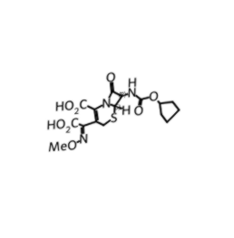 CON=C(C(=O)O)C1=C(C(=O)O)N2C(=O)[C@@H](NC(=O)OC3CCCC3)[C@@H]2SC1